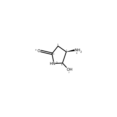 N[C@@H]1CC(=O)NC1O